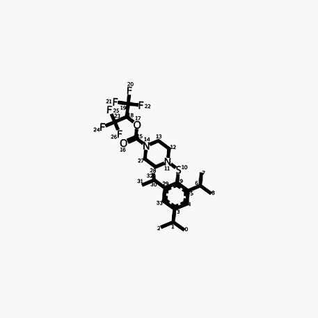 CC(C)c1cc(C(C)C)c(SN2CCN(C(=O)OC(C(F)(F)F)C(F)(F)F)CC2)c(C(C)C)c1